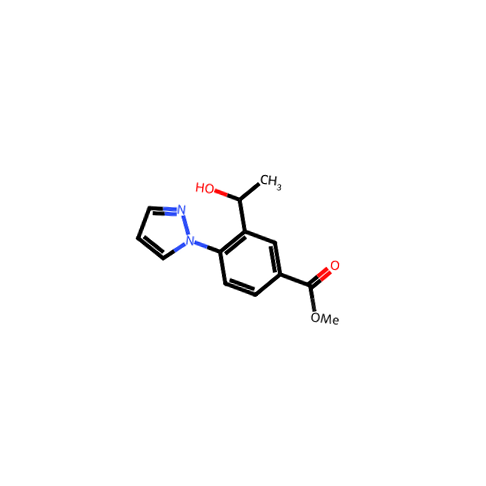 COC(=O)c1ccc(-n2cccn2)c(C(C)O)c1